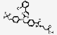 O=C(O)CCNC(=O)c1ccc(CN(c2ccc(SC(F)(F)F)cc2)c2nc(-c3ccccc3Cl)cs2)cc1